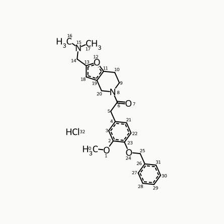 COc1cc(CC(=O)N2CCc3oc(CN(C)C)cc3C2)ccc1OCc1ccccc1.Cl